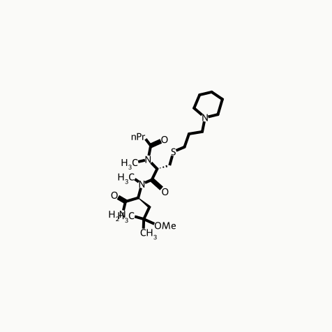 CCCC(=O)N(C)[C@H](CSCCCN1CCCCC1)C(=O)N(C)[C@@H](CC(C)(C)OC)C(N)=O